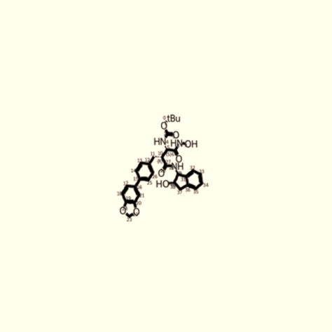 CC(C)(C)OC(=O)N[C@H](C(=O)NO)[C@@H](Cc1ccc(-c2ccc3c(c2)OCO3)cc1)C(=O)N[C@H]1c2ccccc2C[C@H]1O